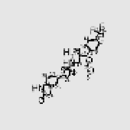 COCOC(c1ccc(C(F)(F)F)cc1)C(N)CNc1ncc(-c2ccc3c(c2)CC(=O)N3)s1